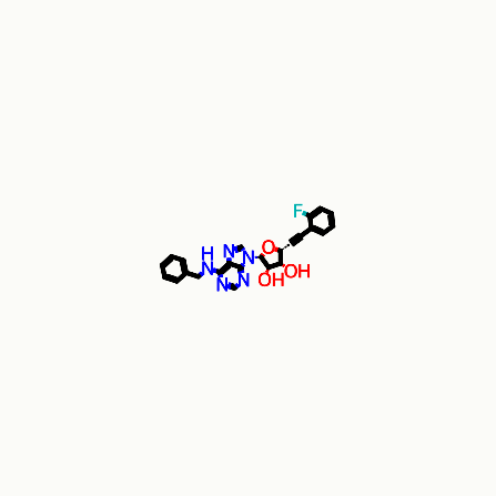 O[C@@H]1[C@H](O)[C@@H](C#Cc2ccccc2F)O[C@H]1n1cnc2c(NCc3ccccc3)ncnc21